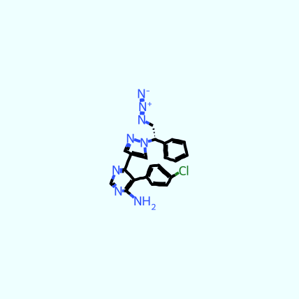 [N-]=[N+]=NC[C@H](c1ccccc1)n1cc(-c2ncnc(N)c2-c2ccc(Cl)cc2)cn1